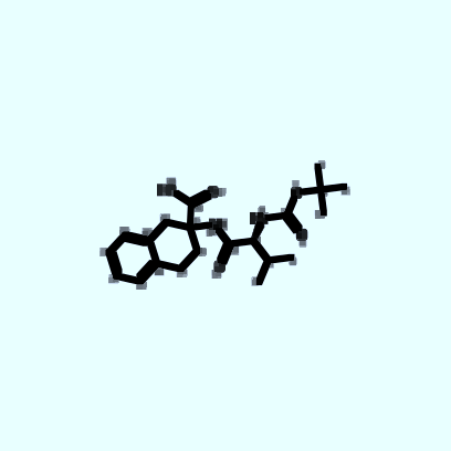 CC(C)[C@H](NC(=O)OC(C)(C)C)C(=O)NC1(C(=O)O)CCc2ccccc2C1